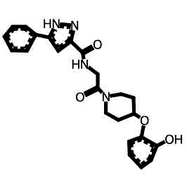 O=C(NCC(=O)N1CCC(Oc2ccccc2O)CC1)c1cc(-c2ccccc2)[nH]n1